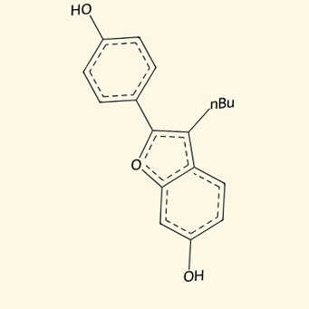 CCCCc1c(-c2ccc(O)cc2)oc2cc(O)ccc12